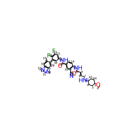 COC1CCC(NC/C=C/C(=O)Nc2ccc(C(=O)Nc3cc(F)c(F)c(-c4cc5ncn(C)c5cc4C)c3)cc2C#N)CC1